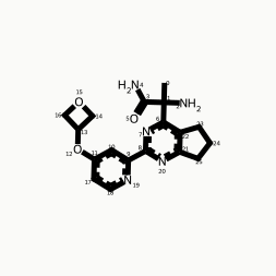 CC(N)(C(N)=O)c1nc(-c2cc(OC3COC3)ccn2)nc2c1CCC2